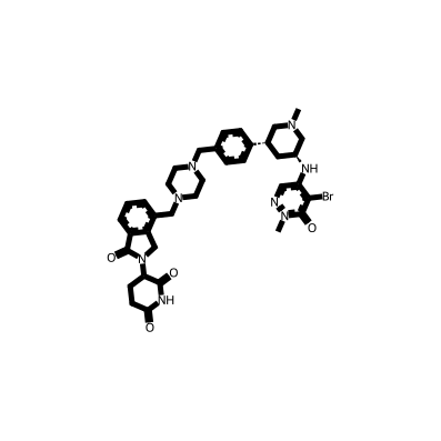 CN1C[C@H](Nc2cnn(C)c(=O)c2Br)C[C@H](c2ccc(CN3CCN(Cc4cccc5c4CN(C4CCC(=O)NC4=O)C5=O)CC3)cc2)C1